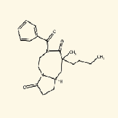 CCCCC1(C)C[C@H]2CCC(=O)N2CCN(C(=O)c2ccccc2)C1=O